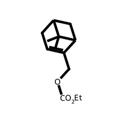 CCOC(=O)OCC1=CCC2CC1C2(C)C